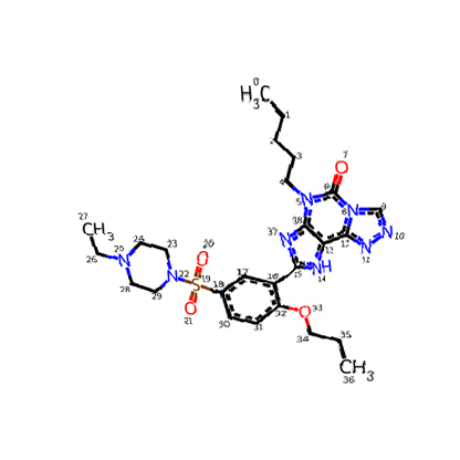 CCCCCn1c(=O)n2cnnc2c2[nH]c(-c3cc(S(=O)(=O)N4CCN(CC)CC4)ccc3OCCC)nc21